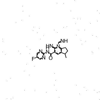 CC1CCc2c1cc(C(=O)Nc1ncc(F)cn1)c(=N)n2C=N